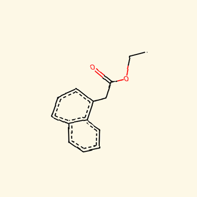 [CH2]COC(=O)Cc1cccc2ccccc12